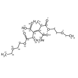 CCOCCOC(=O)C(C)C(C(=O)O)=C(C(=O)O)C(C)C(=O)OCCOCC